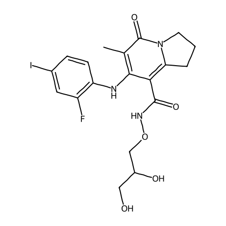 Cc1c(Nc2ccc(I)cc2F)c(C(=O)NOCC(O)CO)c2n(c1=O)CCC2